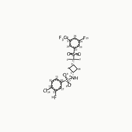 CC(C)([C@H]1C[C@@H](NS(=O)(=O)c2ccc(Cl)c(F)c2)C1)S(=O)(=O)c1cc(F)cc(C(F)(F)F)c1